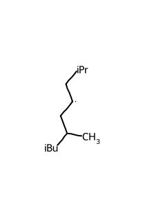 CCC(C)C(C)C[CH]CC(C)C